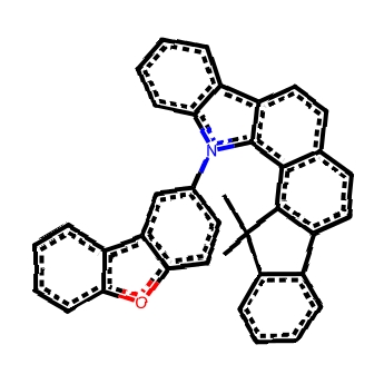 CC1(C)c2ccccc2-c2ccc3ccc4c5ccccc5n(-c5ccc6oc7ccccc7c6c5)c4c3c21